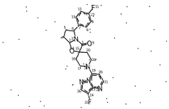 O=C1N2C(CCC2c2ccc(F)cc2)OC12CCN(c1ccnc3c(F)cnn13)CC2